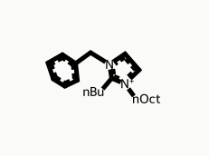 CCCCCCCC[n+]1ccn(Cc2ccccc2)c1CCCC